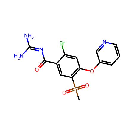 CS(=O)(=O)c1cc(C(=O)N=C(N)N)c(Br)cc1Oc1cccnc1